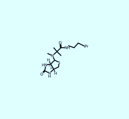 CC(C)CCCNC(=O)C(C)(C)N(C)C1SC[C@@H]2NC(=O)N[C@H]12